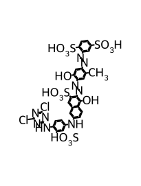 Cc1cc(/N=N/c2c(S(=O)(=O)O)cc3cc(Nc4ccc(Nc5nc(Cl)nc(Cl)n5)c(S(=O)(=O)O)c4)ccc3c2O)c(O)cc1/N=N/c1cc(S(=O)(=O)O)ccc1S(=O)(=O)O